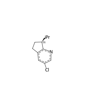 CC(C)[C@@H]1CCc2cc(Cl)cnc21